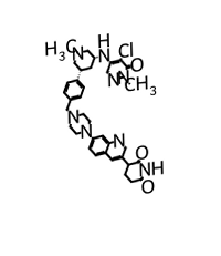 CN1C[C@H](Nc2cnn(C)c(=O)c2Cl)C[C@H](c2ccc(CN3CCN(c4ccc5cc(C6CCC(=O)NC6=O)cnc5c4)CC3)cc2)C1